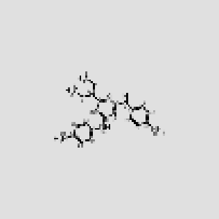 CCN(CC)c1nc(Nc2ccc(N)cc2)nc(Nc2ccc(N)cc2)n1